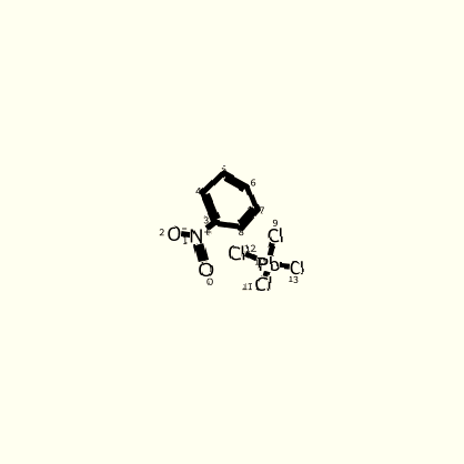 O=[N+]([O-])c1ccccc1.[Cl][Pb]([Cl])([Cl])[Cl]